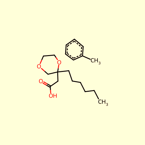 CCCCCCC1(CC(=O)O)COCCO1.Cc1ccccc1